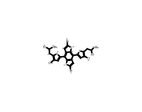 CCCCC(CC)Cc1sc(-c2c3cc(Br)sc3c(-c3cc(Cl)c(CC(CC)CCCC)s3)c3cc(Br)sc23)cc1Cl